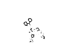 CCc1nnn([C@H]2C[C@@H](n3cnc4c(NCC(c5ccccc5)c5ccccc5)nc(N5CC[C@@H](NC(=O)Nc6cc(CC)on6)C5)nc43)[C@H](O)[C@@H]2O)n1.Cl